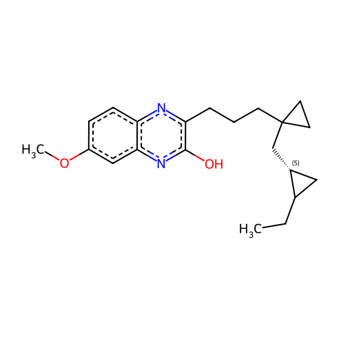 CCC1C[C@H]1CC1(CCCc2nc3ccc(OC)cc3nc2O)CC1